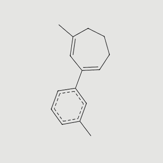 CC1=CC(c2cccc(C)c2)=CCCC1